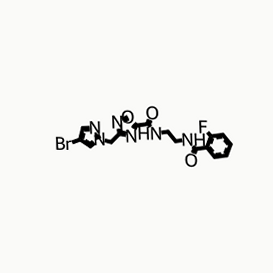 O=C(NCCNC(=O)c1ccccc1F)c1nc(Cn2cc(Br)cn2)no1